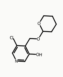 Oc1cncc(Cl)c1COC1CCCCO1